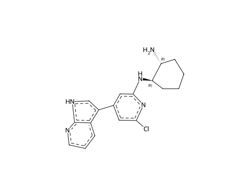 N[C@@H]1CCCC[C@H]1Nc1cc(-c2c[nH]c3ncccc23)cc(Cl)n1